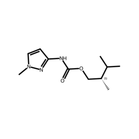 CC(C)[C@H](C)COC(=O)Nc1ccn(C)n1